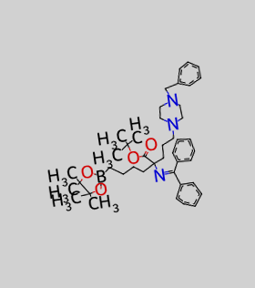 CC(C)(C)OC(=O)C(CCCCB1OC(C)(C)C(C)(C)O1)(CCCN1CCN(Cc2ccccc2)CC1)N=C(c1ccccc1)c1ccccc1